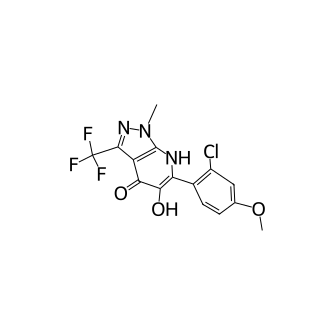 COc1ccc(-c2[nH]c3c(c(C(F)(F)F)nn3C)c(=O)c2O)c(Cl)c1